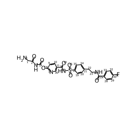 NCC(=O)NC(=O)Oc1ccc(C(=O)NS(=O)(=O)c2ccc(CCNC(=O)c3ccc(F)cc3)cc2)cn1